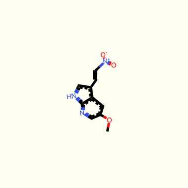 COc1cnc2[nH]cc(C=C[N+](=O)[O-])c2c1